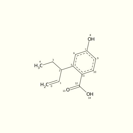 C=CC(CC)c1cc(O)ccc1C(=O)O